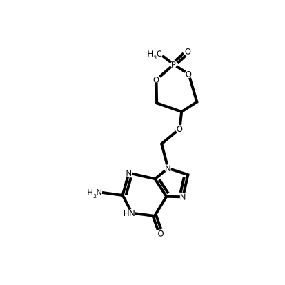 CP1(=O)OCC(OCn2cnc3c(=O)[nH]c(N)nc32)CO1